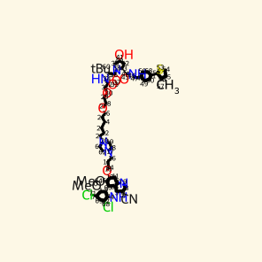 COc1cc(Nc2c(C#N)cnc3cc(OCCCN4CCN(CCCCCCOCCOCC(=O)N[C@H](C(=O)N5C[C@H](O)C[C@H]5C(=O)NCc5ccc(-c6sccc6C)cc5)C(C)(C)C)CC4)c(OC)cc23)c(Cl)cc1Cl